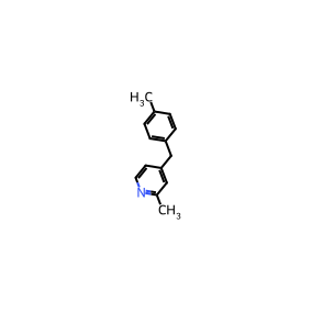 Cc1ccc(Cc2ccnc(C)c2)cc1